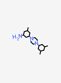 CC1CC(C)CC(N2CCN(C3CC(C)CC(N)C3)CC2)C1